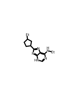 CCNc1nc[nH]c2nc(C3CCC(CC)C3)nc1-2